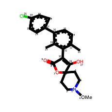 CON1CCC2(CC1)OC(=O)C(c1c(C)ccc(-c3ccc(Cl)cc3)c1C)=C2O